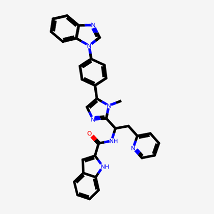 Cn1c(-c2ccc(-n3cnc4ccccc43)cc2)cnc1C(Cc1ccccn1)NC(=O)c1cc2ccccc2[nH]1